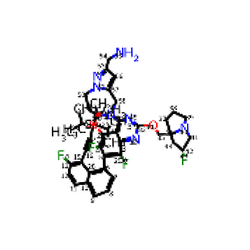 COc1c(F)c(-c2cccc3ccc(F)c(C#C[Si](C(C)C)(C(C)C)C(C)C)c23)c(F)c2nc(OC[C@@]34CCCN3C[C@H](F)C4)nc(N3CCCn4nc(CN)cc4C3)c12